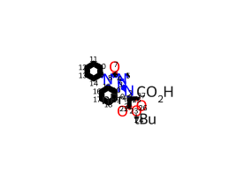 CCC[C@@](N=NN(C)C(=O)N(c1ccccc1)c1ccccc1)(C(=O)OC(C)(C)C)C(=O)C(=O)O